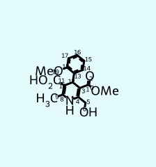 COC(=O)C1=C(CO)NC(C)=C(C(=O)O)C1c1ccccc1OC